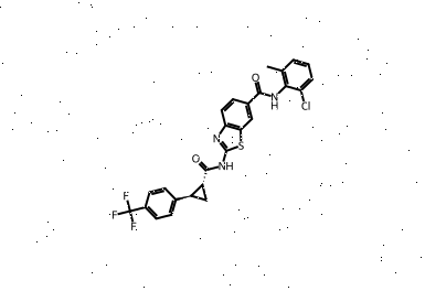 Cc1cccc(Cl)c1NC(=O)c1ccc2nc(NC(=O)[C@@H]3C[C@H]3c3ccc(C(F)(F)F)cc3)sc2c1